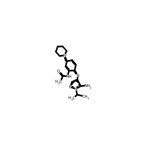 CC(=O)NC1=CC(=[N+]2CCCCC2)C=C/C1=N/c1cnn(C(C)C)c1N